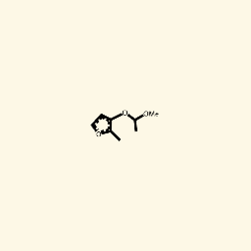 COC(C)Oc1ccoc1C